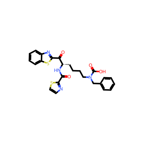 O=C(N[C@@H](CCCCN(Cc1ccccc1)C(=O)O)C(=O)c1nc2ccccc2s1)c1nccs1